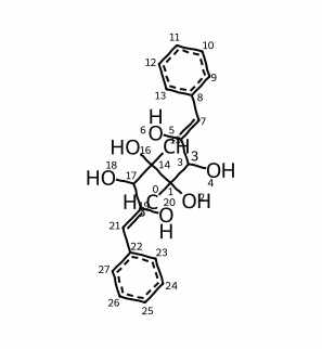 CC(O)(C(O)C(O)=Cc1ccccc1)C(C)(O)C(O)C(O)=Cc1ccccc1